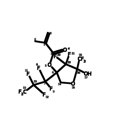 C=C(C)C(=O)OC1(C(F)(F)C(F)(F)C(F)(F)F)COC(O)(C(F)(F)F)C1(F)F